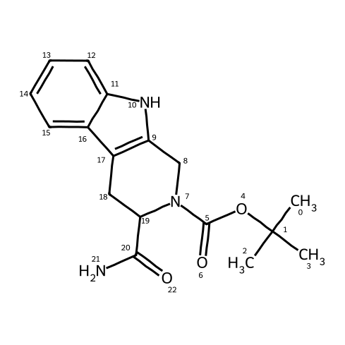 CC(C)(C)OC(=O)N1Cc2[nH]c3ccccc3c2CC1C(N)=O